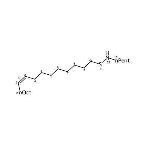 CCCCCCCC/C=C\CCCCCCCCSNCCCCC